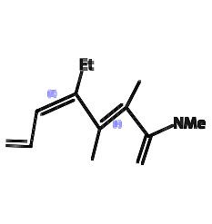 C=C/C=C(CC)\C(C)=C(/C)C(=C)NC